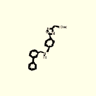 CCCCCCCCCCCc1noc(-c2ccc(C[N+](CC)Cc3cccc(-c4ccccc4)c3)cc2)n1